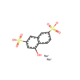 O=S(=O)([O-])c1ccc2c(O)cc(S(=O)(=O)[O-])cc2c1.[Na+].[Na+]